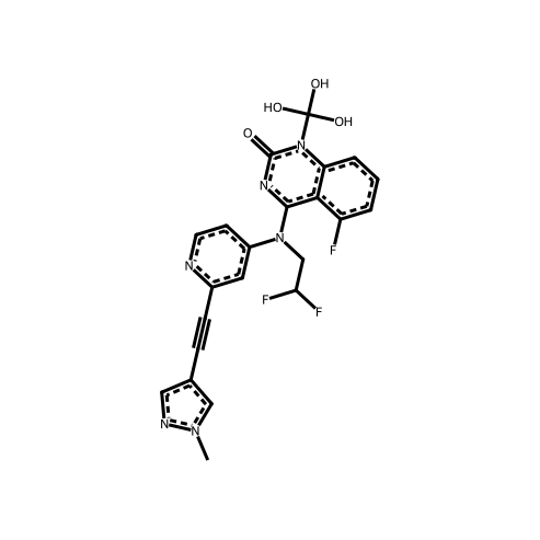 Cn1cc(C#Cc2cc(N(CC(F)F)c3nc(=O)n(C(O)(O)O)c4cccc(F)c34)ccn2)cn1